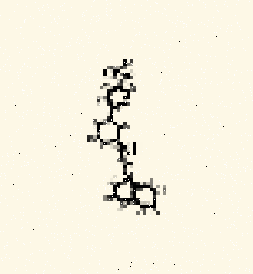 CS(=O)(=O)c1ccc(C2CCCC(NCCc3cccc4ccccc34)C2)cc1